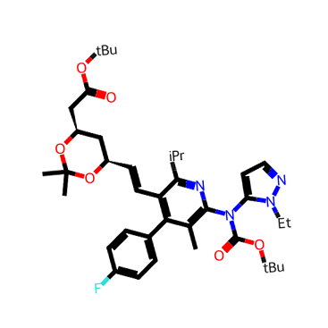 CCn1nccc1N(C(=O)OC(C)(C)C)c1nc(C(C)C)c(/C=C/[C@@H]2C[C@H](CC(=O)OC(C)(C)C)OC(C)(C)O2)c(-c2ccc(F)cc2)c1C